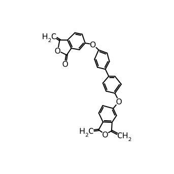 C=C1OC(=O)c2cc(Oc3ccc(-c4ccc(Oc5ccc6c(=C)oc(=C)c6c5)cc4)cc3)ccc21